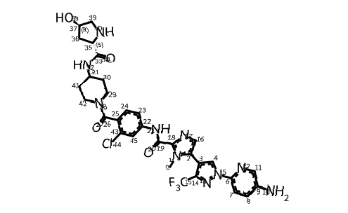 Cn1c(-c2cn(-c3ccc(N)cn3)nc2C(F)(F)F)cnc1C(=O)Nc1ccc(C(=O)N2CCC(NC(=O)[C@@H]3C[C@@H](O)CN3)CC2)c(Cl)c1